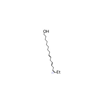 CC/C=C\CC=CCC=CCCCCCCCCO